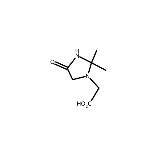 CC1(C)NC(=O)CN1CC(=O)O